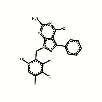 Cc1c[n+]([O-])c(Cn2nc(-c3ccccc3)c3c(Cl)nc(N)nc32)c(C)c1Cl